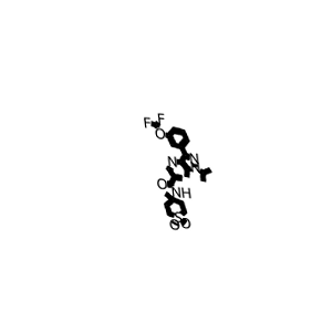 C=C(/C=N\c1c(-c2cccc(OC(F)F)c2)nn(C(C)C)c1C)C(=O)NC1(C)CCS(=O)(=O)CC1